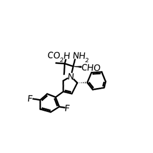 CC(C)(C(=O)O)[C@@](N)(C=O)N1CC(c2cc(F)ccc2F)=C[C@H]1c1ccccc1